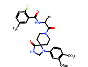 COc1cc(N2CNC(=O)C23CCN(C(=O)C(NC(=O)c2cc(C(F)(F)F)ccc2F)C(C)C)CC3)ccc1C(=O)O